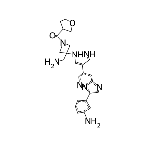 N=C/C(=C\NC1(CN)CN(C(=O)C2CCOC2)C1)c1cnn2c(-c3cccc(N)c3)cnc2c1